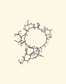 CCC1[C@@H]2CN(C(=O)[C@H](C(C)(C)C)NC(=O)O[C@@H]3CCC[C@H]3CCCCC(F)(F)c3c(nc4cc(OC)ccc4c3C(F)(F)F)O2)[C@@H]1C(C)=O